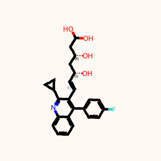 OC(O)C[C@H](O)C[C@H](O)/C=C/c1c(C2CC2)nc2ccccc2c1-c1ccc(F)cc1